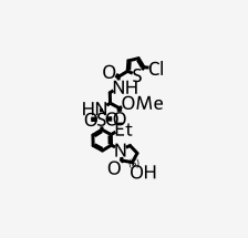 CCc1c(N2CC[C@H](O)C2=O)cccc1S(=O)(=O)NC(CNC(=O)c1ccc(Cl)s1)C(=O)OC